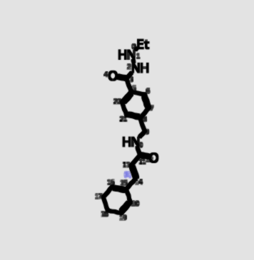 CCNNC(=O)c1ccc(CNC(=O)/C=C/C2=CCCC=C2)cc1